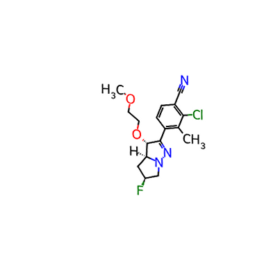 COCCO[C@@H]1C(c2ccc(C#N)c(Cl)c2C)=NN2C[C@@H](F)C[C@@H]12